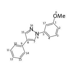 COc1cccc(-n2cc(-c3ccccc3)cn2)c1